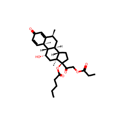 CCCCC(=O)O[C@]1(C(=O)COC(=O)CC)CC[C@H]2[C@@H]3C[C@H](C)C4=CC(=O)C=C[C@]4(C)[C@H]3[C@@H](O)C[C@@]21C